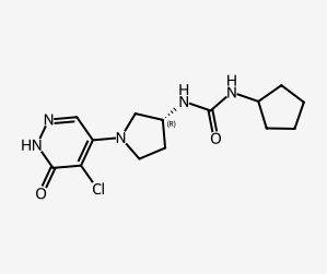 O=C(NC1CCCC1)N[C@@H]1CCN(c2cn[nH]c(=O)c2Cl)C1